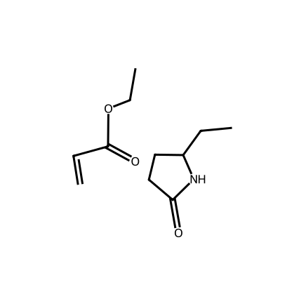 C=CC(=O)OCC.CCC1CCC(=O)N1